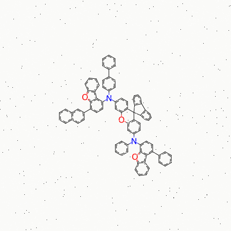 c1ccc(-c2ccc(N(c3ccc4c(c3)Oc3cc(N(c5ccccc5)c5ccc(-c6ccccc6)c6c5oc5ccccc56)ccc3C43c4ccccc4-c4ccccc43)c3ccc(-c4ccc5ccccc5c4)c4oc5ccccc5c34)cc2)cc1